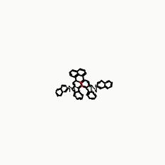 c1ccc2cc(-n3c4ccccc4c4ccc(-c5cccc6cccc(-c7ccc8c9ccccc9n(-c9ccc%10ccccc%10c9)c8c7)c56)cc43)ccc2c1